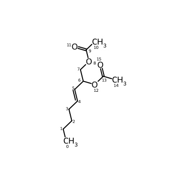 CCCCC=CC(COC(C)=O)OC(C)=O